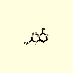 CC(C)(C)C1N=CC=C(OC(N)=O)N1C(C)(C)C